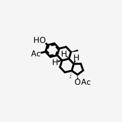 CC(=O)O[C@H]1CC[C@H]2[C@@H]3[C@H](C)Cc4cc(O)c(C(C)=O)cc4[C@H]3CC[C@]12C